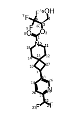 O=C(O[C@H](CO)C(F)(F)F)N1CCC2(CC1)CC(c1ccc(C(F)F)nc1)C2